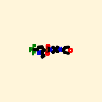 C=Cc1nc(C(F)(F)F)ccc1S(=O)(=O)N1CC2(CN(C3CCOCC3)C2)C1